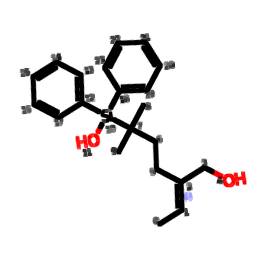 C/C=C(/CO)CCC(C)(C)[Si](O)(c1ccccc1)c1ccccc1